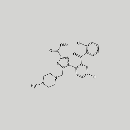 COC(=O)c1nc(CN2CCN(C)CC2)n(-c2ccc(Cl)cc2C(=O)c2ccccc2Cl)n1